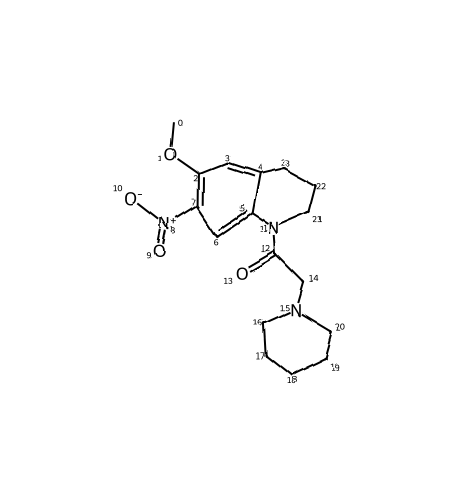 COc1cc2c(cc1[N+](=O)[O-])N(C(=O)CN1CCCCC1)CCC2